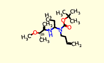 C=CCCN(C(=O)OC(C)(C)C)C(CC)NC(=C)[C@H](C)OC